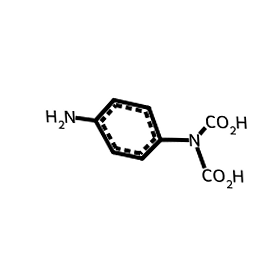 Nc1ccc(N(C(=O)O)C(=O)O)cc1